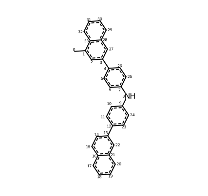 Cc1cc(-c2ccc(Nc3ccc(-c4ccc5ccccc5c4)cc3)cc2)cc2ccccc12